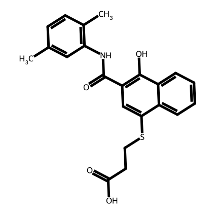 Cc1ccc(C)c(NC(=O)c2cc(SCCC(=O)O)c3ccccc3c2O)c1